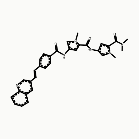 CN(C)C(=O)c1cc(NC(=O)c2cc(NC(=O)c3ccc(/C=C/c4cnc5ccccc5c4)cc3)cn2C)cn1C